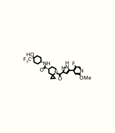 COc1cc(-c2cc(C(=O)N3CC[C@H](C(=O)N[C@H]4CC[C@@](O)(C(F)(F)F)CC4)CC34CC4)n[nH]2)c(F)cn1